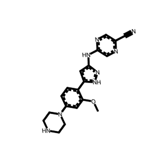 COc1cc(N2CCNCC2)ccc1-c1cc(Nc2cnc(C#N)cn2)n[nH]1